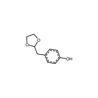 Oc1ccc(CC2OCCO2)cc1